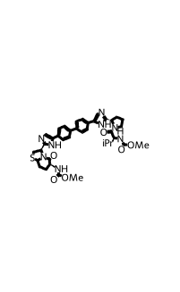 COC(=O)N[C@H]1CCC2SC[C@@H](c3ncc(-c4ccc(-c5ccc(-c6cnc([C@@H]7CCCN7C(=O)[C@@H](NC(=O)OC)C(C)C)[nH]6)cc5)cc4)[nH]3)N2C1=O